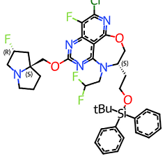 CC(C)(C)[Si](OCC[C@H]1COc2nc(Cl)c(F)c3nc(OC[C@@]45CCCN4C[C@H](F)C5)nc(c23)N1CC(F)F)(c1ccccc1)c1ccccc1